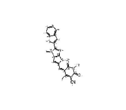 CCN1C(=O)C(C#N)=C(C)/C(=C/c2cc3c(nc(-c4cc5ccccc5s4)n3C)s2)C1=O